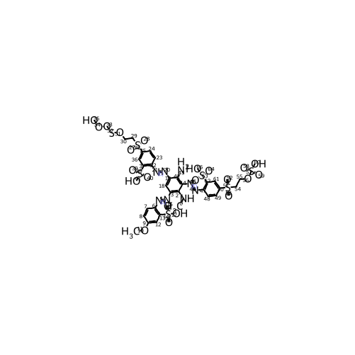 CNc1c(/N=N/c2ccc(OC)cc2S(=O)(=O)O)cc(/N=N/c2ccc(S(=O)(=O)CCOSOOO)cc2S(=O)(=O)O)c(N)c1/N=N/c1ccc(S(=O)(=O)CCOS(=O)(=O)O)cc1S(=O)(=O)O